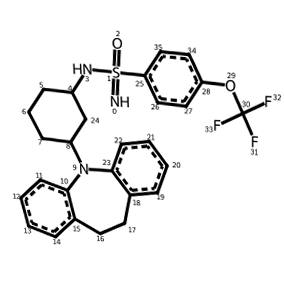 N=S(=O)(NC1CCCC(N2c3ccccc3CCc3ccccc32)C1)c1ccc(OC(F)(F)F)cc1